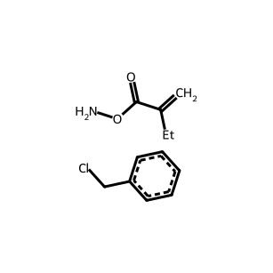 C=C(CC)C(=O)ON.ClCc1ccccc1